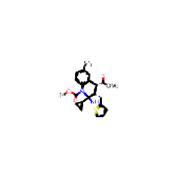 COC(=O)[C@H]1c2cc(C(F)(F)F)ccc2N(C(=O)OC(C)C)C(N)(C2CC2)[C@H]1Cc1cccs1